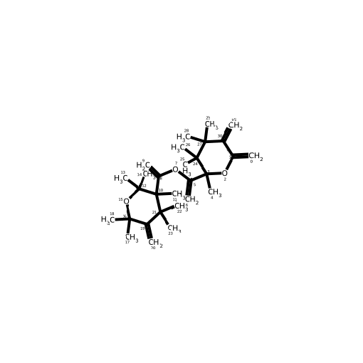 C=C1OC(C)(C(=C)OC(=C)C2(C)C(C)(C)OC(C)(C)C(=C)C2(C)C)C(C)(C)C(C)(C)C1=C